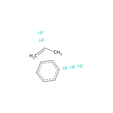 C=CC.F.F.F.F.F.c1ccccc1